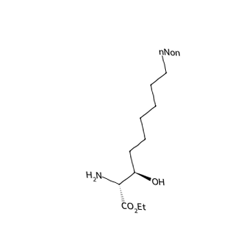 CCCCCCCCCCCCCCC[C@@H](O)[C@@H](N)C(=O)OCC